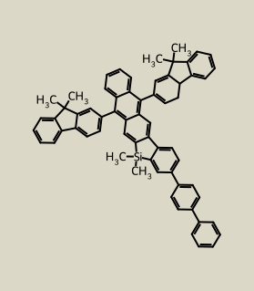 CC1(C)C2=CC(c3c4ccccc4c(-c4ccc5c(c4)C(C)(C)c4ccccc4-5)c4cc5c(cc34)-c3ccc(-c4ccc(-c6ccccc6)cc4)cc3[Si]5(C)C)=CCC2c2ccccc21